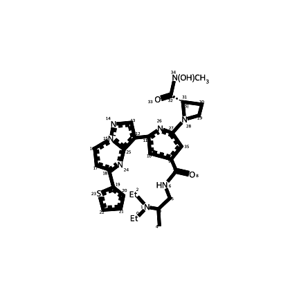 CCN(CC)C(C)CNC(=O)c1cc(-c2cnn3ccc(-c4cccs4)nc23)nc(N2CC[C@H]2C(=O)N(C)O)c1